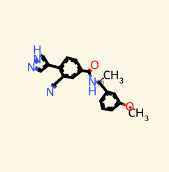 COc1cccc([C@@H](C)NC(=O)c2ccc(-c3cn[nH]c3)c(C#N)c2)c1